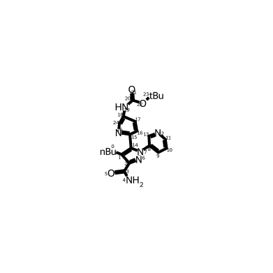 CCCCc1c(C(N)=O)nn(-c2cccnc2)c1-c1ccc(NC(=O)OC(C)(C)C)cn1